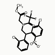 COC(=O)CN(CC(c1ccccc1Cl)c1cc(Cl)ccc1[N+](=O)[O-])C(=O)C(F)(F)F